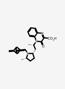 C=C1C2CC1C2=CN1[C@H](C[C@H](C)n2c(=O)c(C(=O)O)nc3ccccc32)CC[C@@H]1C